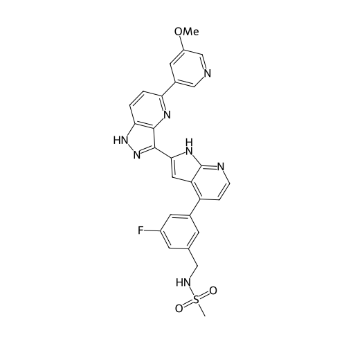 COc1cncc(-c2ccc3[nH]nc(-c4cc5c(-c6cc(F)cc(CNS(C)(=O)=O)c6)ccnc5[nH]4)c3n2)c1